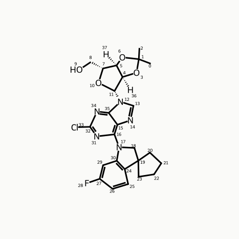 CC1(C)O[C@@H]2[C@H](O1)[C@@H](CO)O[C@H]2n1cnc2c(N3CC4(CCCC4)c4ccc(F)cc43)nc(Cl)nc21